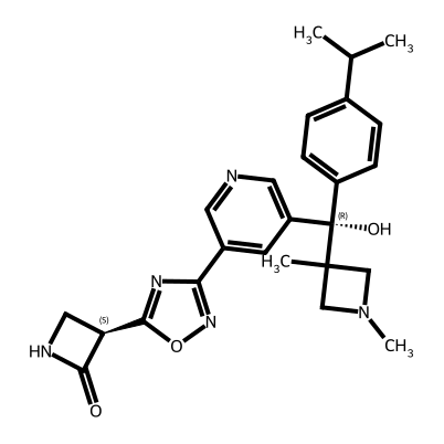 CC(C)c1ccc([C@](O)(c2cncc(-c3noc([C@@H]4CNC4=O)n3)c2)C2(C)CN(C)C2)cc1